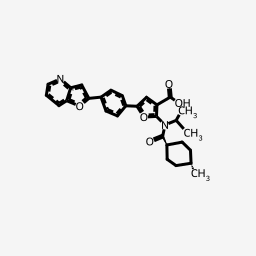 CC(C)N(c1oc(-c2ccc(-c3cc4ncccc4o3)cc2)cc1C(=O)O)C(=O)[C@H]1CC[C@H](C)CC1